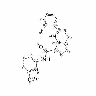 COc1cccc(NC(=O)c2cnc3ccc(-c4ccccc4F)nn23)n1